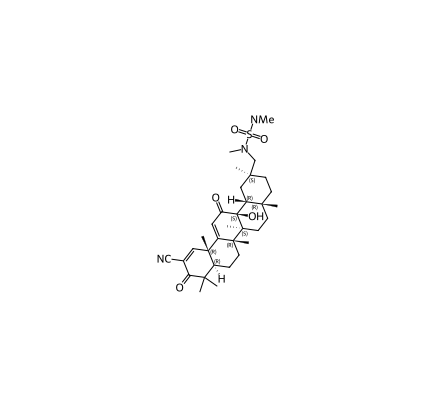 CNS(=O)(=O)N(C)C[C@@]1(C)CC[C@]2(C)CC[C@@]3(C)[C@]4(C)CC[C@H]5C(C)(C)C(=O)C(C#N)=C[C@]5(C)C4=CC(=O)[C@]3(O)[C@@H]2C1